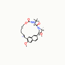 COc1cc2ccc3cc2cc1/C=C/CCCCOC(=O)N[C@@H](C(C)(C)C)C(=O)N1C[C@@]3(OC)C[C@H]1C